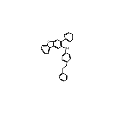 c1ccc(CCc2ccc(Nc3cc4c(cc3-c3ccccc3)oc3ccccc34)cc2)cc1